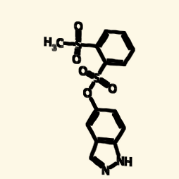 CS(=O)(=O)c1ccccc1S(=O)(=O)Oc1ccc2[nH]ncc2c1